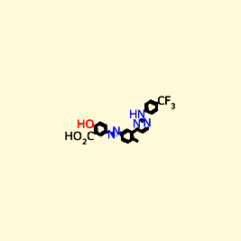 Cc1ccc(/N=N/c2ccc(O)c(C(=O)O)c2)cc1-c1ccnc(Nc2ccc(C(F)(F)F)cc2)n1